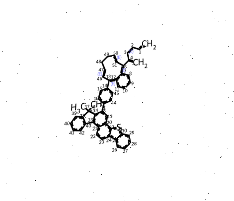 C=C/C=C\C(=C)C1=c2\cccc\c2=C(c2ccc(-c3cc4c(ccc5c6ccccc6sc45)c4c3C(C)(C)c3ccccc3-4)cc2)\C=C\CC\C=C\1